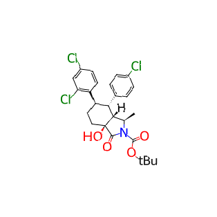 C[C@@H]1[C@H]2[C@@H](c3ccc(Cl)cc3)[C@H](c3ccc(Cl)cc3Cl)CC[C@@]2(O)C(=O)N1C(=O)OC(C)(C)C